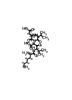 CC(C)C(N)C(=O)N(C(=O)C(N)CC(=O)O)C(C(=O)O)C(=O)C(NC(=O)C(N)CCCCN)C(C)C